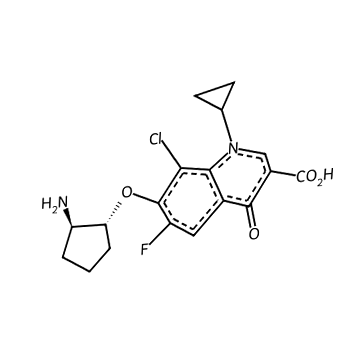 N[C@@H]1CCC[C@H]1Oc1c(F)cc2c(=O)c(C(=O)O)cn(C3CC3)c2c1Cl